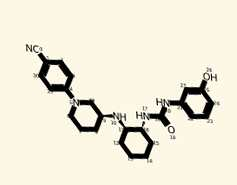 N#Cc1ccc(N2CCC[C@H](N[C@@H]3CCCC[C@H]3NC(=O)Nc3cccc(O)c3)C2)cc1